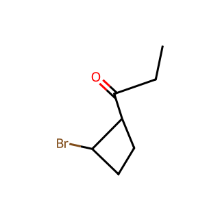 CCC(=O)C1CCC1Br